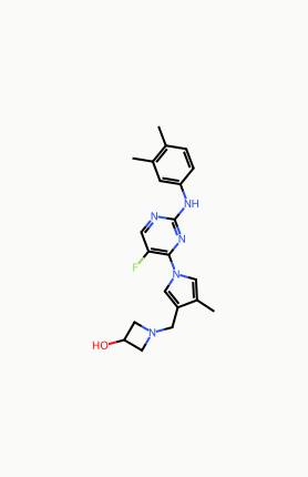 Cc1ccc(Nc2ncc(F)c(-n3cc(C)c(CN4CC(O)C4)c3)n2)cc1C